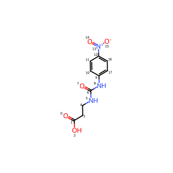 O=C(O)CCNC(=O)Nc1ccc([N+](=O)[O-])cc1